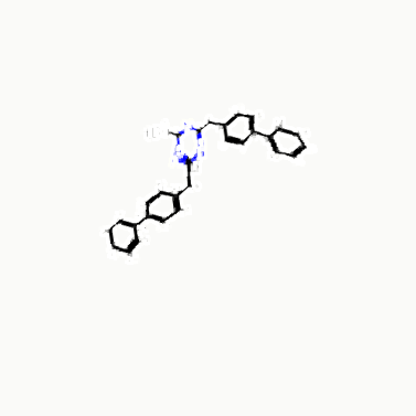 CC(C)(C)c1nc(Cc2ccc(-c3ccccc3)cc2)nc(Cc2ccc(-c3ccccc3)cc2)n1